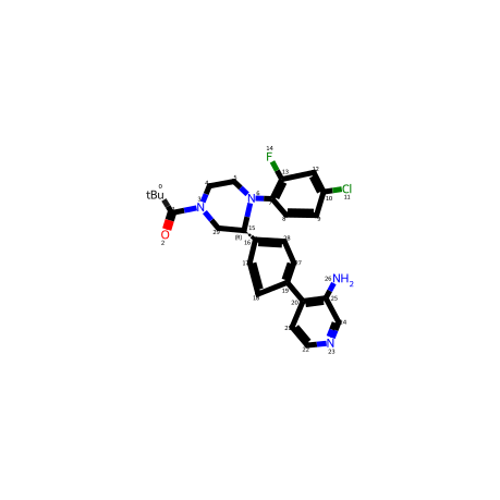 CC(C)(C)C(=O)N1CCN(c2ccc(Cl)cc2F)[C@H](c2ccc(-c3ccncc3N)cc2)C1